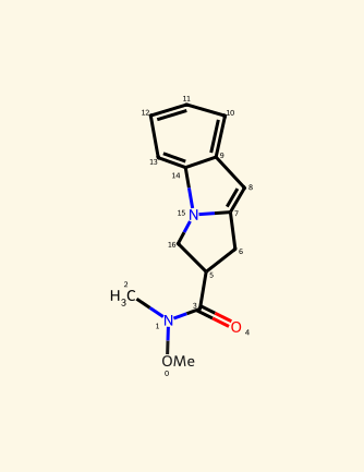 CON(C)C(=O)C1Cc2cc3ccccc3n2C1